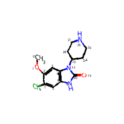 COc1cc2c(cc1Cl)[nH]c(=O)n2C1CCNCC1